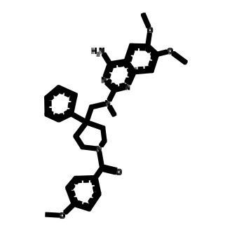 COc1ccc(C(=O)N2CCC(CN(C)c3nc(N)c4cc(OC)c(OC)cc4n3)(c3ccccc3)CC2)cc1